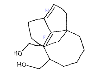 OC/C1=C(\C2=C/CCCCCC2)CCCCCC1CO